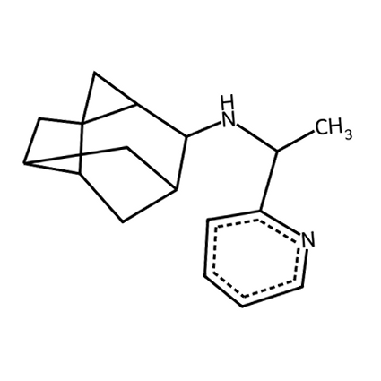 CC(NC1C2CC3CC4(CC14)C3C2)c1ccccn1